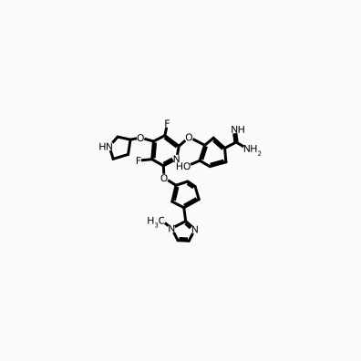 Cn1ccnc1-c1cccc(Oc2nc(Oc3cc(C(=N)N)ccc3O)c(F)c(OC3CCNC3)c2F)c1